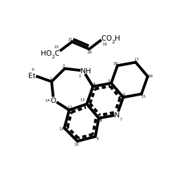 CCC1CNc2c3c(nc4cccc(c24)O1)CCCC3.O=C(O)C=CC(=O)O